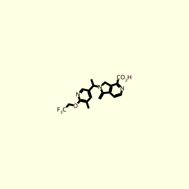 C=C1c2ccnc(C(=O)O)c2CN1C(C)c1cnc(OCC(F)(F)F)c(C)c1